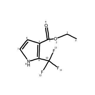 CCOC(=O)c1cc[nH]c1C(F)(F)F